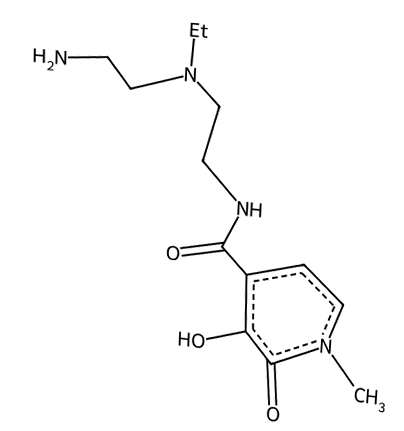 CCN(CCN)CCNC(=O)c1ccn(C)c(=O)c1O